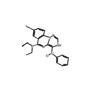 CCN(CC)C1=NC2=C([S+]([O-])c3ccccc3)NC=NN2c2ccc(I)cc21